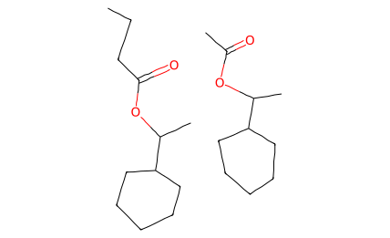 CC(=O)OC(C)C1CCCCC1.CCCC(=O)OC(C)C1CCCCC1